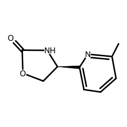 Cc1cccc([C@H]2COC(=O)N2)n1